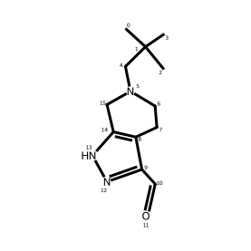 CC(C)(C)CN1CCc2c(C=O)n[nH]c2C1